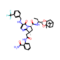 CC[C@H](NC(=O)[C@@H]1C[C@@](C)(CC(=O)Nc2ccccc2C(N)=O)c2ncc(NCc3cccc(C(F)(F)F)c3)c(=O)n21)B1OC2CC3CC(C3(C)C)C2(C)O1